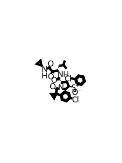 CC(C)C[C@H](NC(=O)[C@@H]1C[C@@H]([S+]([O-])c2ccccc2Cl)CN1C(=O)C1(c2ccc(Cl)cc2)CC1)C(=O)C(=O)NC1CC1